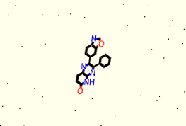 O=c1ccc2nc(-c3ccc4ncoc4c3)c(-c3ccccc3)nc2[nH]1